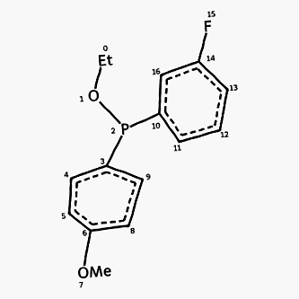 CCOP(c1ccc(OC)cc1)c1cccc(F)c1